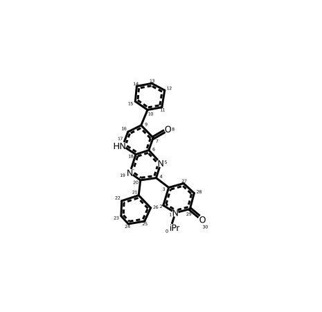 CC(C)n1cc(-c2nc3c(=O)c(-c4ccccc4)c[nH]c3nc2-c2ccccc2)ccc1=O